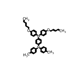 C=C/C=C/COc1ccc(N(c2ccc(OC/C=C/C=C)cc2)c2ccc(N(c3ccc(C)cc3)c3ccc(C)cc3)cc2)cc1